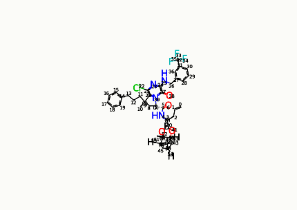 C=CC[C@H](NC(=O)[C@@H]1C[C@](C)(CCCc2ccccc2)c2c(Cl)nc(NCc3cccc(C(F)(F)F)c3)c(=O)n21)B1O[C@@H]2C[C@@H]3C[C@@H](C3(C)C)[C@]2(C)O1